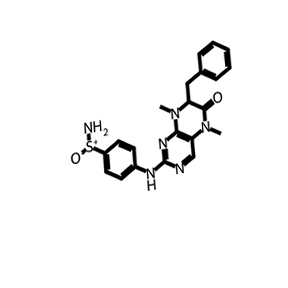 CN1C(=O)C(Cc2ccccc2)N(C)c2nc(Nc3ccc([S+](N)[O-])cc3)ncc21